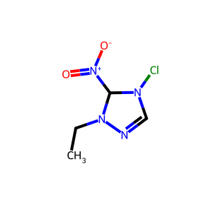 CCN1N=CN(Cl)C1[N+](=O)[O-]